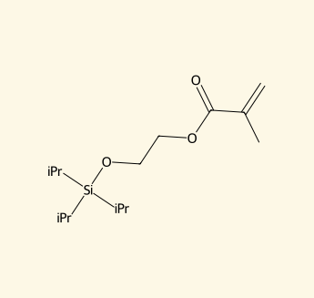 C=C(C)C(=O)OCCO[Si](C(C)C)(C(C)C)C(C)C